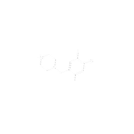 Nc1cc(C(F)(F)F)c(CN2CCNCC2)cc1F